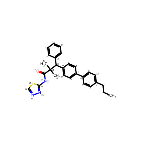 CCCc1ccc(-c2ccc(C(c3ccccc3)C(C)(C)C(=O)Nc3nncs3)cc2)cc1